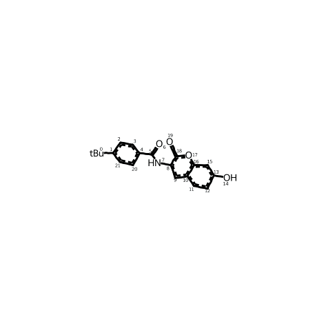 CC(C)(C)c1ccc(C(=O)Nc2cc3ccc(O)cc3oc2=O)cc1